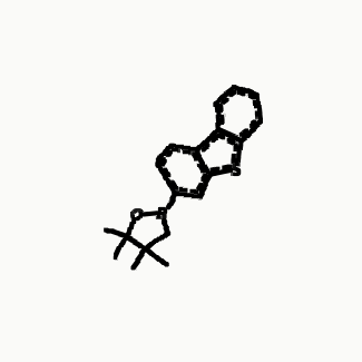 CC1(C)CB(c2ccc3c(c2)sc2ccccc23)OC1(C)C